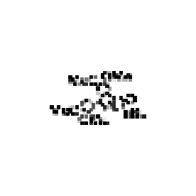 CCCCC1CN2C(CC1=O)c1cc(OC)c(OC)cc1C(c1ccc(OC)c(OC)c1)C2C